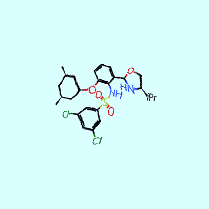 CC(C)[C@@H]1COC(c2cccc(O[C@@H]3C[C@H](C)C[C@H](C)C3)c2NS(=O)(=O)c2cc(Cl)cc(Cl)c2)N1